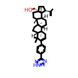 C=C(C)[C@@H]1CC[C@]2(CO)CC[C@]3(C)[C@H](CC[C@@H]4[C@@]5(C)CC=C(c6ccc(-c7nn[nH]n7)cc6)C(C)(C)[C@@H]5CC[C@]43C)[C@@H]12